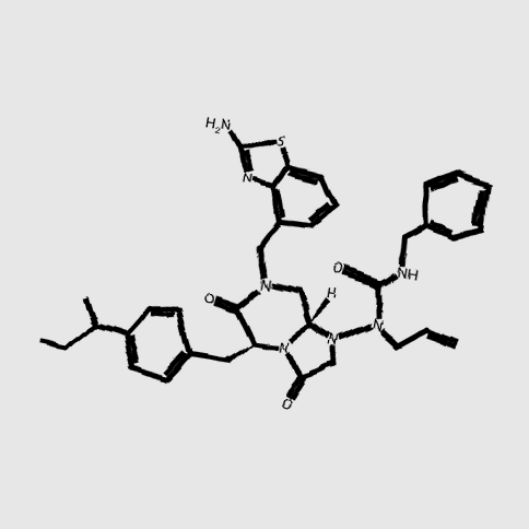 C=CCN(C(=O)NCc1ccccc1)N1CC(=O)N2[C@@H](Cc3ccc(C(C)CC)cc3)C(=O)N(Cc3cccc4sc(N)nc34)C[C@@H]21